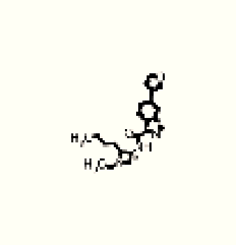 CCCCC1[C@@H](NC(=O)c2nsc3cc(-c4ccoc4)ccc23)CN1CC